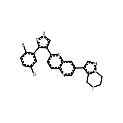 Fc1ccc(Cl)cc1-c1n[nH]cc1-c1ccc2ncc(-c3cnn4c3CNCC4)cc2n1